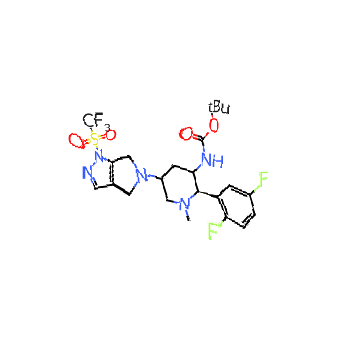 CN1CC(N2Cc3cnn(S(=O)(=O)C(F)(F)F)c3C2)CC(NC(=O)OC(C)(C)C)[C@H]1c1cc(F)ccc1F